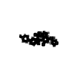 CN1CCN(c2ccc3nc(-n4c(=O)cc(NC5CCOC5)c5cscc54)n(S(=O)(=O)C(F)(F)F)c3c2)CC1